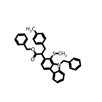 CSc1c(C(Cc2ccc(C)cc2)C(=O)OCc2ccccc2)ccc2c3ccccc3n(Cc3ccccc3)c12